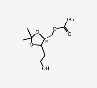 CC1(C)OC(CCO)[C@@H](COC(=O)C(C)(C)C)O1